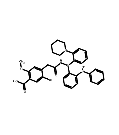 COc1cc(CC(=O)NN(c2ccccc2N2CCCCC2)c2ccccc2[S+]([O-])c2ccccc2)c(Br)cc1C(=O)O